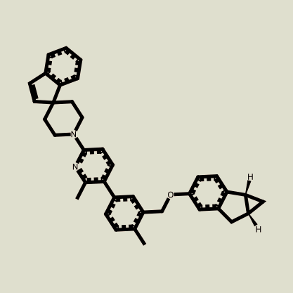 Cc1ccc(-c2ccc(N3CCC4(C=Cc5ccccc54)CC3)nc2C)cc1COc1ccc2c(c1)C[C@H]1C[C@@H]21